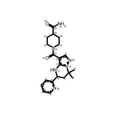 CC1(C)CC(c2ccccn2)Nc2c(C(=O)N3CCC(C(N)=O)CC3)cnn21